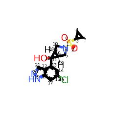 O=S(=O)(C1CC1)N1C[C@@H]2[C@H](C1)C2(O)c1cc(Cl)cc2[nH]ncc12